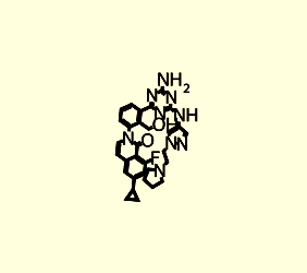 Nc1nc(Nc2cnn(CCN3CCCC3)c2)nc(-c2cccc(-n3ccc4cc(C5CC5)cc(F)c4c3=O)c2CO)n1